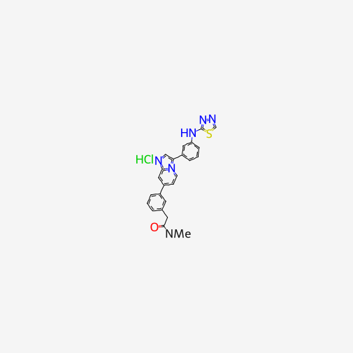 CNC(=O)Cc1cccc(-c2ccn3c(-c4cccc(Nc5nncs5)c4)cnc3c2)c1.Cl